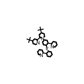 CC(C)(C)c1ccnc(-c2cc(C(C)(C)C)ccn2)c1.c1ccc(-c2cccc[c]2[Ir][c]2ccccc2-c2ccccn2)nc1